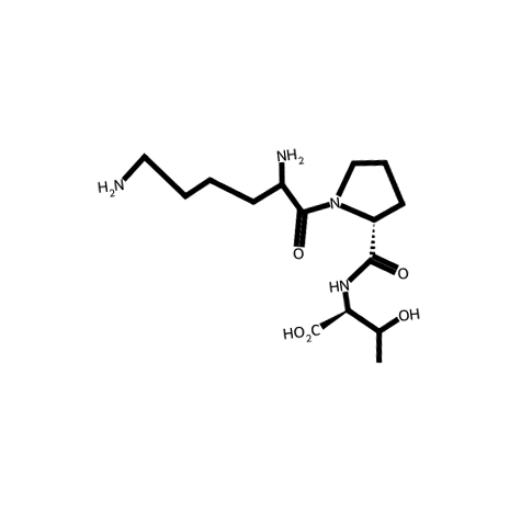 CC(O)[C@H](NC(=O)[C@H]1CCCN1C(=O)C(N)CCCCN)C(=O)O